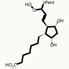 CCCCCC(/C=C/[C@@H]1[C@@H](CCCCCCC(=O)O)[C@@H](O)C[C@H]1O)OO